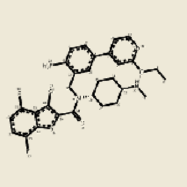 CCOc1cc(-c2ccc(P)c(CN(C(=O)c3sc4c(F)ccc(F)c4c3Cl)[C@H]3CC[C@H](NC)CC3)c2)ccn1